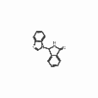 O=C1NC(n2cnc3ccccc32)c2ccccc21